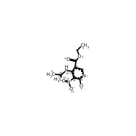 CCOC(=O)c1cnc(Cl)c([N+](=O)[O-])c1NC(C)C